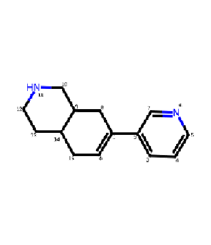 C1=C(c2cccnc2)CC2CNCCC2C1